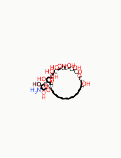 C[C@H]1/C=C/C=C/C=C/C=C/C=C/C=C/C=C/[C@H](O[C@@H]2OC[C@@H](O)[C@H](N)[C@@H]2O)C[C@@H]2OC(O)(CC(O)C[C@@H](O)C(O)CC[C@@H](O)CC(O)CC(=O)OC[C@H](C)[C@@H]1O)C[C@H](O)[C@H]2C(=O)O